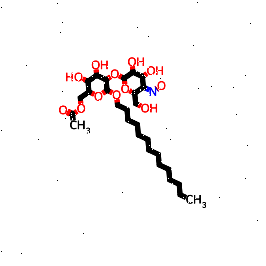 CCCCCCCCCCCCCCOC1OC(COC(C)=O)C(O)C(O)C1OC1OC(CO)C(N=O)C(O)C1O